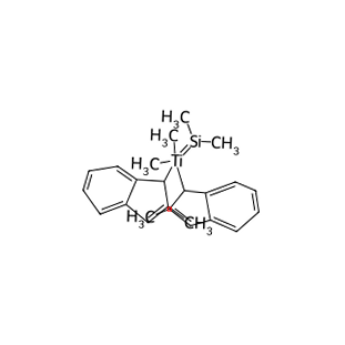 CC1=Cc2ccccc2[CH]1[Ti]([CH3])([CH3])([CH]1C(C)=Cc2ccccc21)=[Si](C)C